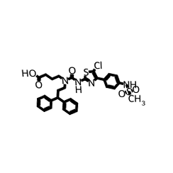 CS(=O)(=O)Nc1ccc(-c2nc(NC(=O)N(CCCC(=O)O)CCC(c3ccccc3)c3ccccc3)sc2Cl)cc1